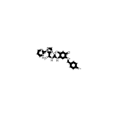 C[C@H](NC(=O)Nc1cc(OCc2ccc(F)cc2)c(Cl)cc1Cl)c1ncnn1-c1ncccn1